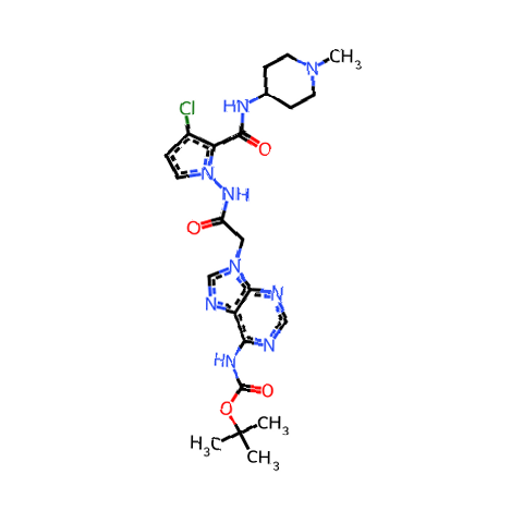 CN1CCC(NC(=O)c2c(Cl)ccn2NC(=O)Cn2cnc3c(NC(=O)OC(C)(C)C)ncnc32)CC1